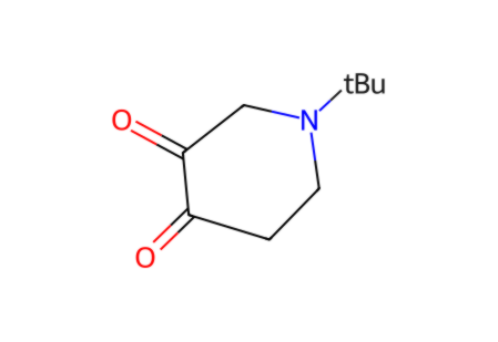 CC(C)(C)N1CCC(=O)C(=O)C1